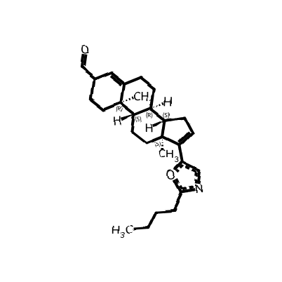 CCCCc1ncc(C2=CC[C@H]3[C@@H]4CCC5=CC(C=O)CC[C@]5(C)[C@H]4CC[C@]23C)o1